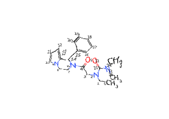 CCN(CC(=O)N1CCn2cccc2C1c1ccccc1)C(=O)N(C)C